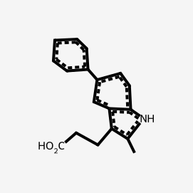 Cc1[nH]c2ccc(-c3ccccc3)cc2c1CCC(=O)O